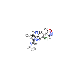 Cc1noc(C)c1-c1cc2ncc([N+](=O)[O-])c(N[C@H](C)c3ccccn3)c2cc1Cl